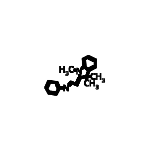 CN1C(=CC=Nc2ccccc2)C(C)(C)c2ccccc21